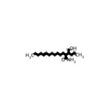 CCCCC=CCCCCCCC(C(N)=O)C(CO)CCC